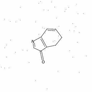 O=C1C=NC2=C1CCC=C2